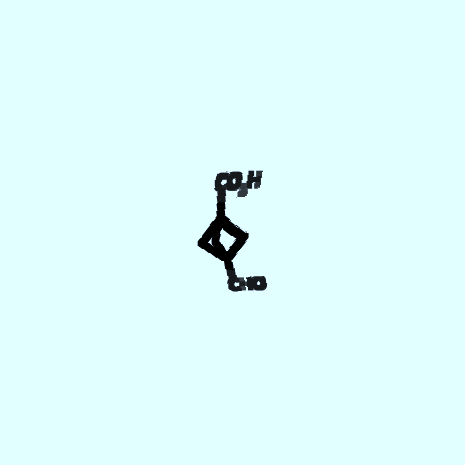 O=CC12CC(C(=O)O)(C1)C2